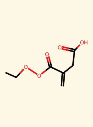 C=C(CC(=O)O)C(=O)OOCC